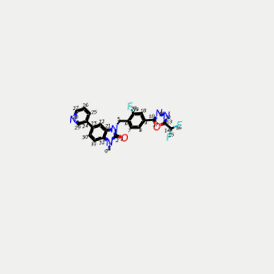 Cn1c(=O)n(Cc2ccc(-c3nnc(C(F)F)o3)cc2F)c2cc(-c3cccnc3)ccc21